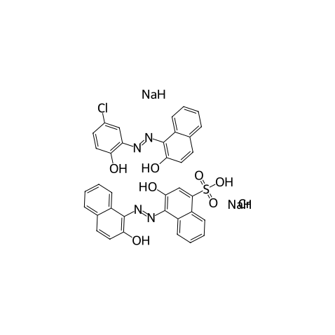 O=S(=O)(O)c1cc(O)c(N=Nc2c(O)ccc3ccccc23)c2ccccc12.Oc1ccc(Cl)cc1N=Nc1c(O)ccc2ccccc12.[Cr].[NaH].[NaH]